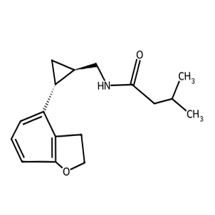 CC(C)CC(=O)NC[C@@H]1C[C@H]1c1cccc2c1CCO2